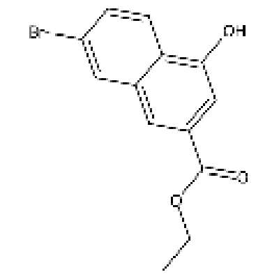 CCOC(=O)c1cc(O)c2ccc(Br)cc2c1